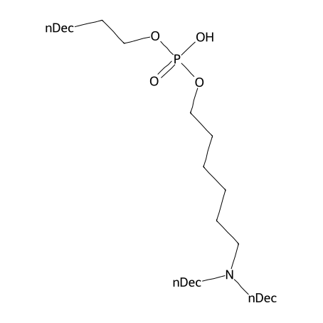 CCCCCCCCCCCCOP(=O)(O)OCCCCCCN(CCCCCCCCCC)CCCCCCCCCC